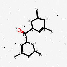 CC1=CC(C(=O)C2C=C(C)CC(C)C2)CC(C)C1